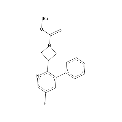 CC(C)(C)OC(=O)N1CC(c2ncc(F)cc2-c2ccccc2)C1